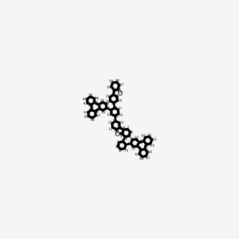 c1ccc(-c2cccc3c2oc2ccc(-c4ccc(-c5ccc6c(c5)oc5ccccc56)c(-c5ccc6c7ccccc7c7ccccc7c6c5)c4)cc23)c(-c2ccc3c4ccccc4c4ccccc4c3c2)c1